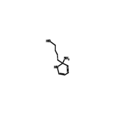 NC1(CCCCO)C=CC=CN1